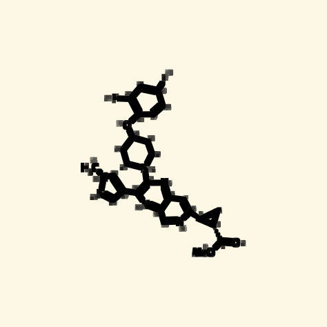 COC(=O)[C@H]1C[C@@H]1c1cc2nc(N3CCC(Oc4ccc(F)cc4F)CC3)c(-c3cnn(C)c3)nc2cn1